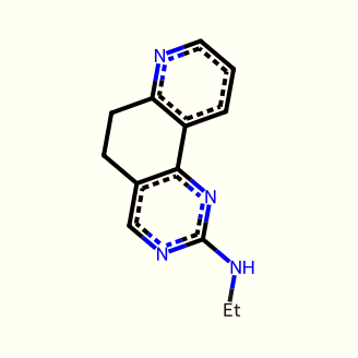 CCNc1ncc2c(n1)-c1cccnc1CC2